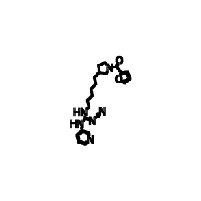 N#CN=C(NCCCCCCC1CCN(C(=O)c2ccco2)C1)Nc1cccnc1